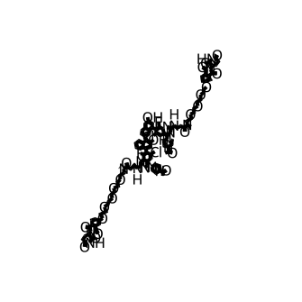 CC(=O)N1CCN(c2nc(NCCC(=O)N(C)CCOCCOCCOCCOc3ccc4c(c3)C(=O)N(C3CCC(=O)NC3=O)C4=O)nc3c(F)c(-c4cc(O)cc5ccc(-c6c(O)cc(-c7c(Cl)cc8c(N9CCN(C(C)=O)CC9)nc(NCCC(=O)N(C)CCOCCOCCOCCOCCOc9ccc%10c(c9)C(=O)N(C9CCC(=O)NC9=O)C%10=O)nc8c7F)c7ccccc67)cc45)c(Cl)cc23)CC1